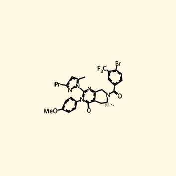 COc1ccc(-n2c(-n3nc(C(C)C)cc3C)nc3c(c2=O)C[C@@H](C)N(C(=O)c2ccc(Br)c(C(F)(F)F)c2)C3)cc1